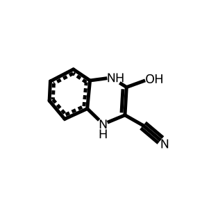 N#CC1=C(O)Nc2ccccc2N1